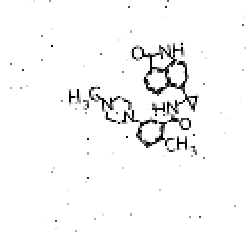 Cc1ccc(N2CCN(C)CC2)cc1C(=O)NC1(c2ccc3c4c(cccc24)C(=O)N3)CC1